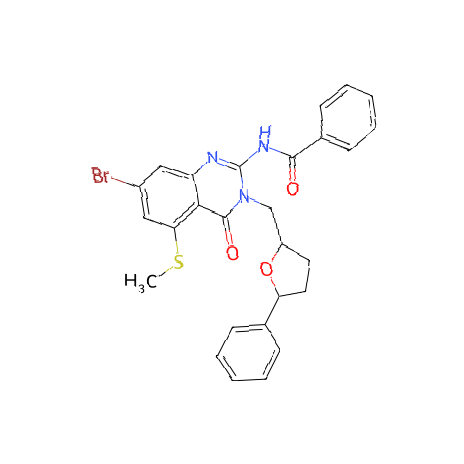 CSc1cc(Br)cc2nc(NC(=O)c3ccccc3)n(CC3CCC(c4ccccc4)O3)c(=O)c12